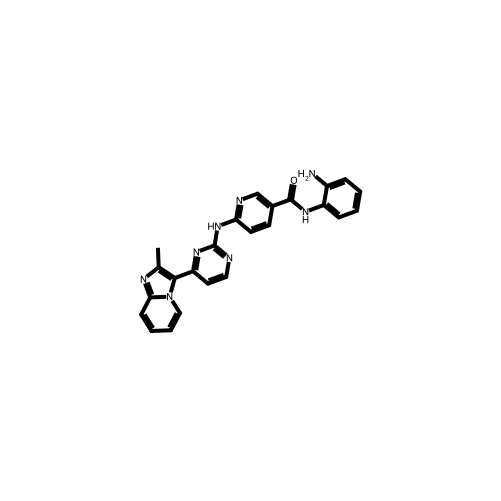 Cc1nc2ccccn2c1-c1ccnc(Nc2ccc(C(=O)Nc3ccccc3N)cn2)n1